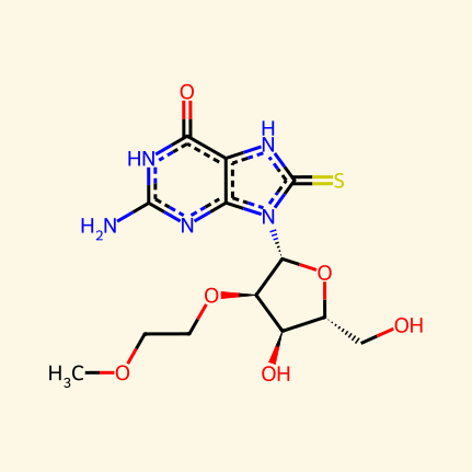 COCCO[C@@H]1[C@H](O)[C@@H](CO)O[C@H]1n1c(=S)[nH]c2c(=O)[nH]c(N)nc21